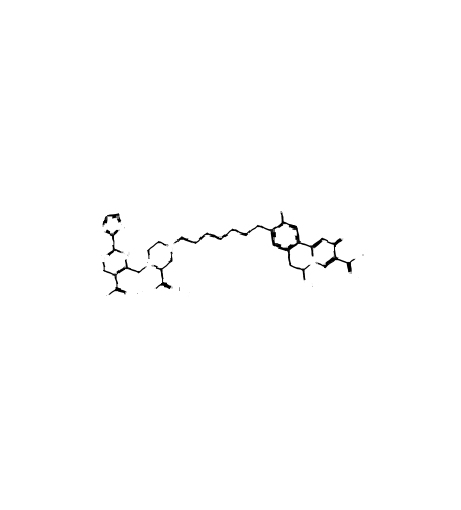 C=C(O)C1=CN2C(=CC1=C)c1cc(CC)c(CCCCCCCN3CCN(CC4=C(C(=C)CC)CN=C(c5nccs5)N4)C(C(=C)C)C3)cc1CC2C(C)(C)C